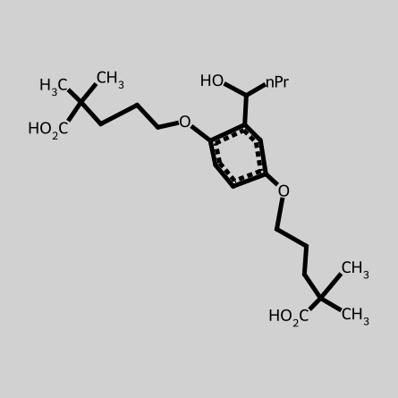 CCCC(O)c1cc(OCCCC(C)(C)C(=O)O)ccc1OCCCC(C)(C)C(=O)O